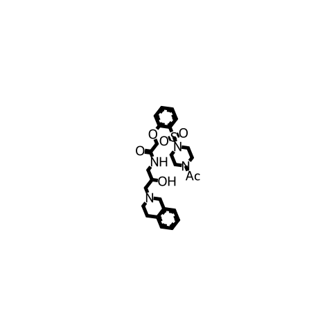 CC(=O)N1CCN(S(=O)(=O)c2ccccc2OCC(=O)NCC(O)CN2CCc3ccccc3C2)CC1